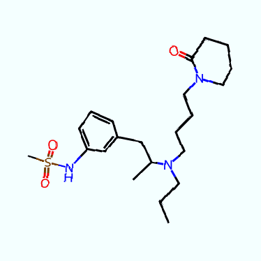 CCCN(CCCCN1CCCCC1=O)C(C)Cc1cccc(NS(C)(=O)=O)c1